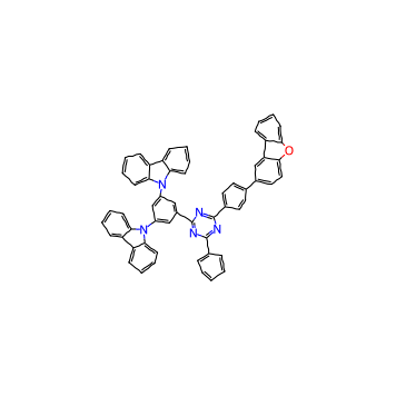 c1ccc(-c2nc(-c3ccc(-c4ccc5oc6ccccc6c5c4)cc3)nc(-c3cc(-n4c5ccccc5c5ccccc54)cc(-n4c5ccccc5c5ccccc54)c3)n2)cc1